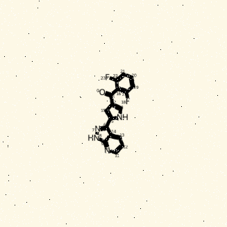 O=C(c1c[nH]c(-c2n[nH]c3ncccc23)c1)c1c(F)cccc1F